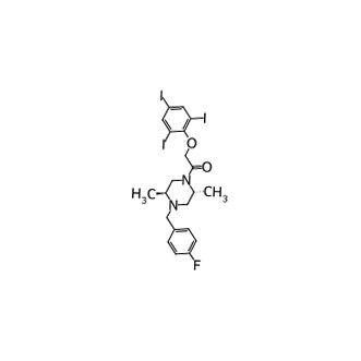 C[C@@H]1CN(Cc2ccc(F)cc2)[C@@H](C)CN1C(=O)COc1c(I)cc(I)cc1I